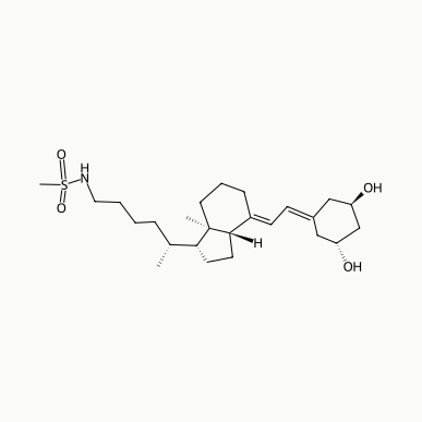 C[C@H](CCCCNS(C)(=O)=O)[C@H]1CC[C@H]2/C(=C/C=C3C[C@@H](O)C[C@H](O)C3)CCC[C@]12C